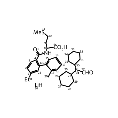 CCc1ccc(C(=O)NC(CCSC)C(=O)O)c(-c2ccccc2C)c1.O=CN(C1CCCCC1)C1CCCCC1.[LiH]